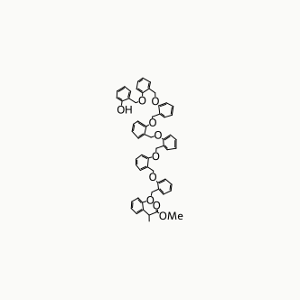 COC(=O)C(C)c1ccccc1OCc1ccccc1OCc1ccccc1OCc1ccccc1OCc1ccccc1OCc1ccccc1OCc1ccccc1OCc1ccccc1O